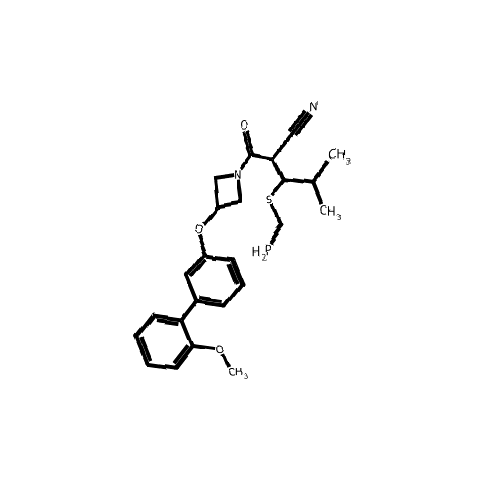 COc1ccccc1-c1cccc(OC2CN(C(=O)C(C#N)C(SCP)C(C)C)C2)c1